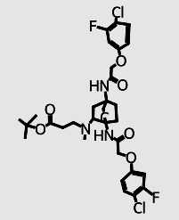 CN(CCC(=O)OC(C)(C)C)C1CC2(NC(=O)COc3ccc(Cl)c(F)c3)CCC1(NC(=O)COc1ccc(Cl)c(F)c1)CC2